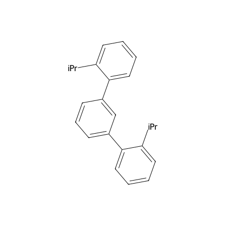 CC(C)c1ccccc1-c1cccc(-c2ccccc2C(C)C)c1